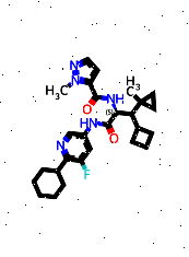 Cn1nccc1C(=O)N[C@H](C(=O)Nc1cnc(C2CCCCC2)c(F)c1)C(C1CCC1)C1(C)CC1